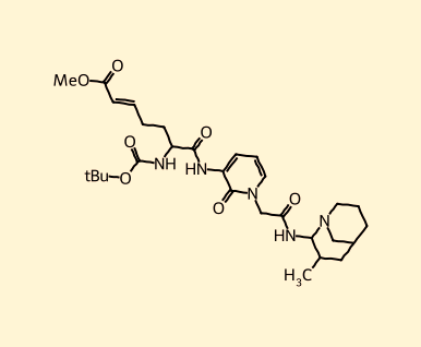 COC(=O)/C=C/CCC(NC(=O)OC(C)(C)C)C(=O)Nc1cccn(CC(=O)NC2C(C)CC3CCCN2C3)c1=O